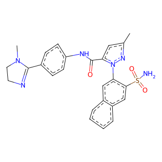 Cc1cc(C(=O)Nc2ccc(C3=NCCN3C)cc2)n(-c2cc3ccccc3cc2S(N)(=O)=O)n1